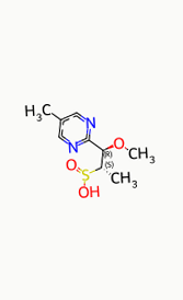 CO[C@H](c1ncc(C)cn1)[C@H](C)S(=O)O